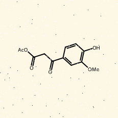 COc1cc(C(=O)CC(=O)OC(C)=O)ccc1O